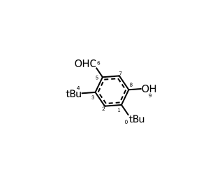 CC(C)(C)c1cc(C(C)(C)C)c(C=O)cc1O